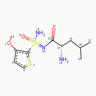 COc1ccsc1S(N)(=O)=NC(=O)[C@@H](N)CC(C)C